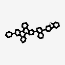 c1ccc(-c2ccc3c(c2)c2ccccc2c2c4ccc(-c5ccc(-c6ccc7c(c6)oc6ccccc67)c6ccccc56)cc4c4ccccc4c32)cc1